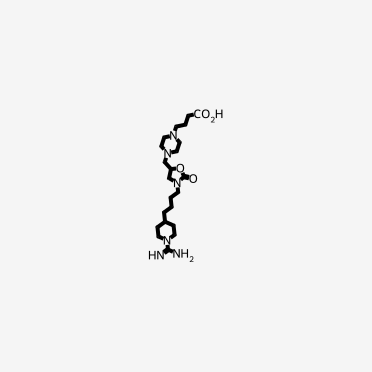 N=C(N)N1CCC(CCCCN2CC(CN3CCN(CCCC(=O)O)CC3)OC2=O)CC1